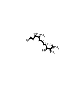 C/C=C/C(=N)C(C)CCCNC(=N)C(C)C(C)C